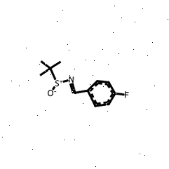 CC(C)(C)[S+]([O-])N=Cc1ccc(F)cc1